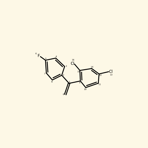 C=C(c1ccc(F)cc1)c1ccc(Cl)cc1Cl